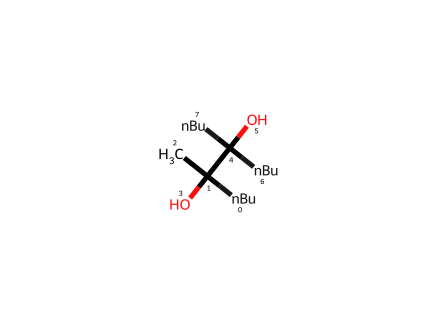 CCCCC(C)(O)C(O)(CCCC)CCCC